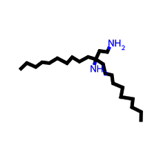 CCCCCCCCCCC(N)(CCN)CCCCCCCCCC